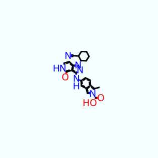 Cc1c2ccc(Nc3nn(C4CCCCC4C#N)c4cc[nH]c(=O)c34)cc2cn1C(=O)O